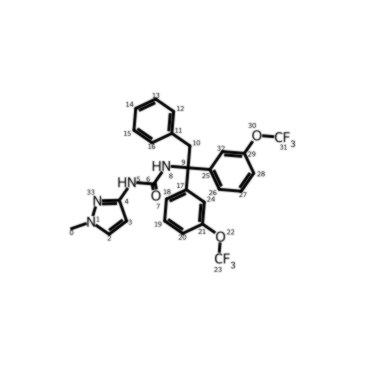 Cn1ccc(NC(=O)NC(Cc2ccccc2)(c2cccc(OC(F)(F)F)c2)c2cccc(OC(F)(F)F)c2)n1